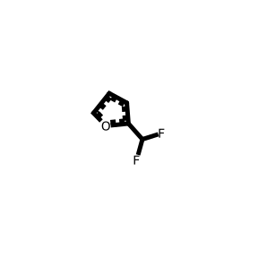 FC(F)c1ccco1